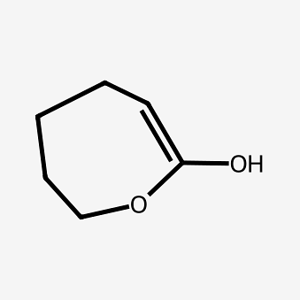 OC1=CCCCCO1